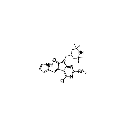 CC1(C)CC(CN2C(=O)C(=Cc3ccc[nH]3)c3c(Cl)nc(N)nc32)CC(C)(C)N1